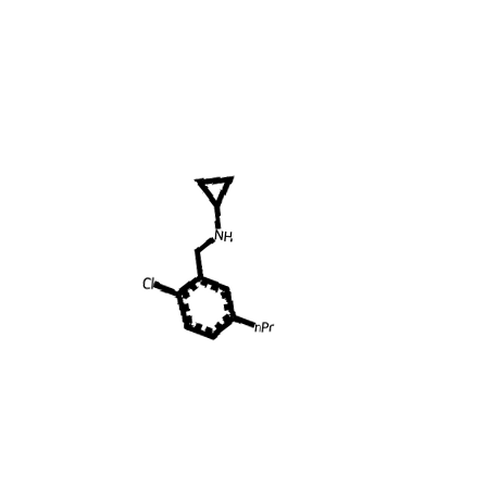 CCCc1ccc(Cl)c(CNC2CC2)c1